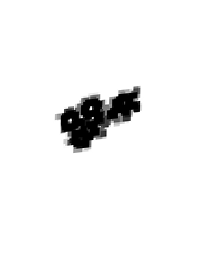 CC(C)(C)C(=O)C(C(=O)OC(F)(F)c1ccc(F)c(F)c1F)=P(c1ccccc1)(c1ccccc1)c1ccccc1